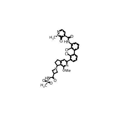 COc1nc(-c2cccc(-c3cccc(NC(=O)c4ccnn(C)c4=O)c3Cl)c2Cl)cc2c1C(N1CC(C(=O)NS(C)(=O)=O)C1)CC2